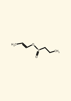 CC=COS(=O)CCC